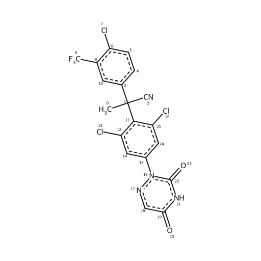 CC(C#N)(c1ccc(Cl)c(C(F)(F)F)c1)c1c(Cl)cc(-n2ncc(=O)[nH]c2=O)cc1Cl